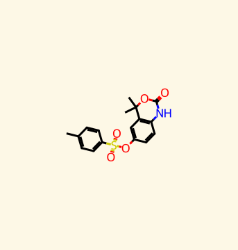 Cc1ccc(S(=O)(=O)Oc2ccc3c(c2)C(C)(C)OC(=O)N3)cc1